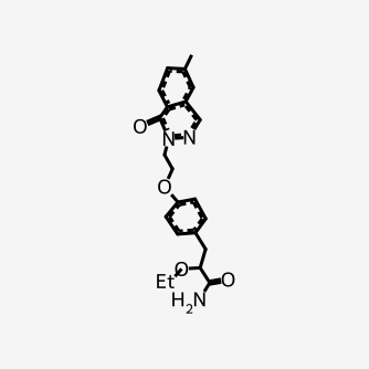 CCOC(Cc1ccc(OCCn2ncc3cc(C)ccc3c2=O)cc1)C(N)=O